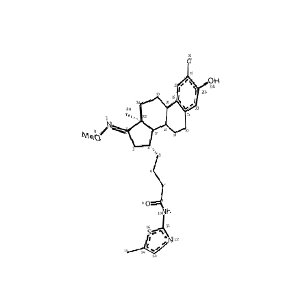 CO/N=C1\C[C@@H](CCCC(=O)Nc2ncc(C)s2)C2C3CCc4cc(O)c(Cl)cc4C3CC[C@]12C